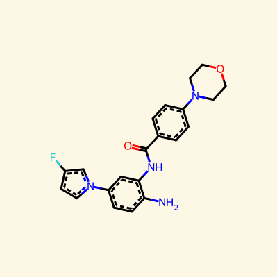 Nc1ccc(-n2ccc(F)c2)cc1NC(=O)c1ccc(N2CCOCC2)cc1